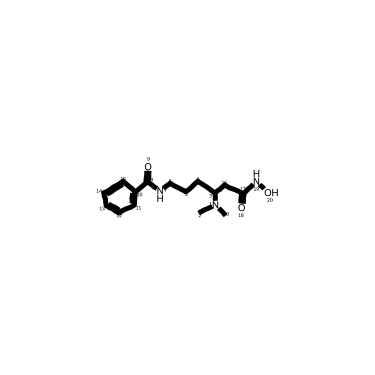 CN(C)C(CCCNC(=O)c1ccccc1)CC(=O)NO